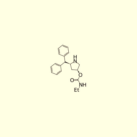 CCNC(=O)O[C@@H]1CN[C@H](C(c2ccccc2)c2ccccc2)C1